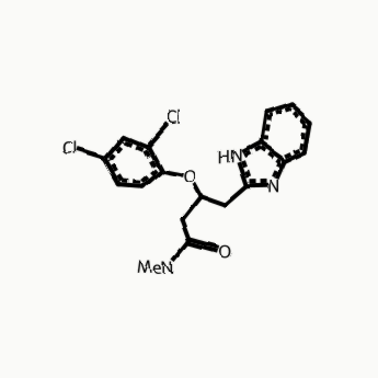 CNC(=O)CC(Cc1nc2ccccc2[nH]1)Oc1ccc(Cl)cc1Cl